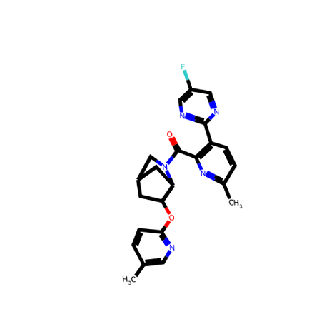 Cc1ccc(OC2CC3CC2N(C(=O)c2nc(C)ccc2-c2ncc(F)cn2)C3)nc1